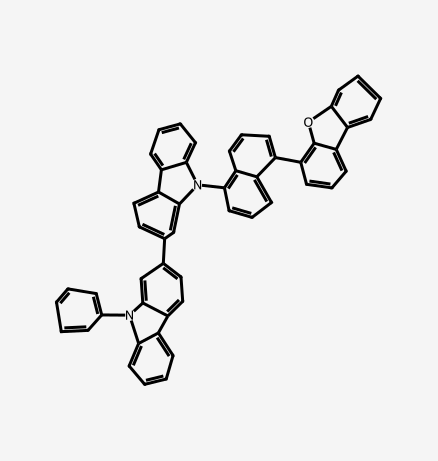 c1ccc(-n2c3ccccc3c3ccc(-c4ccc5c6ccccc6n(-c6cccc7c(-c8cccc9c8oc8ccccc89)cccc67)c5c4)cc32)cc1